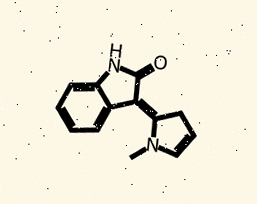 CN1C=CCC1=C1C(=O)Nc2ccccc21